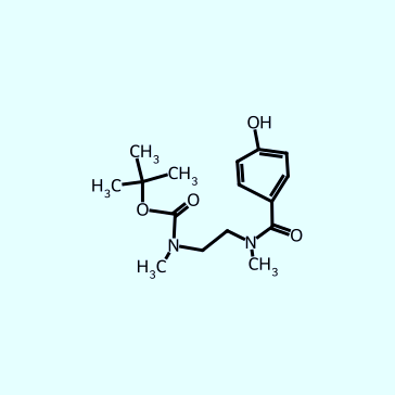 CN(CCN(C)C(=O)c1ccc(O)cc1)C(=O)OC(C)(C)C